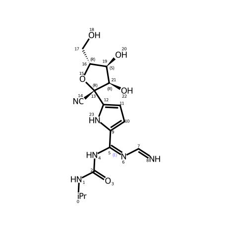 CC(C)NC(=O)N/C(=N/C=N)c1ccc([C@]2(C#N)O[C@H](CO)[C@@H](O)[C@H]2O)[nH]1